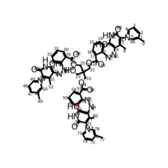 Cc1ccc[n+](-c2c(C)c(/N=N\c3ccccc3C(=O)OCC(CO)(COC(=O)c3ccccc3/N=N\c3c(O)[nH]c(=O)c(-[n+]4cccc(C)c4)c3C)COC(=O)c3ccccc3/N=N\c3c(O)[nH]c(=O)c(-[n+]4cccc(C)c4)c3C)c(O)[nH]c2=O)c1